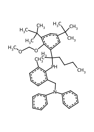 CCCCC(C)(Pc1c(C)cccc1CN(c1ccccc1)c1ccccc1)c1cc(C(C)(C)C)cc(C(C)(C)C)c1OCOC